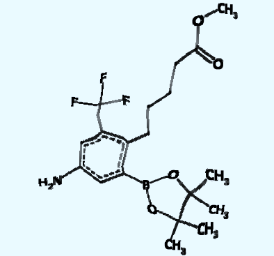 COC(=O)CCCCc1c(B2OC(C)(C)C(C)(C)O2)cc(N)cc1C(F)(F)F